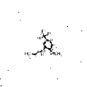 CCCNc1cc(C(F)(F)F)ccc1OC